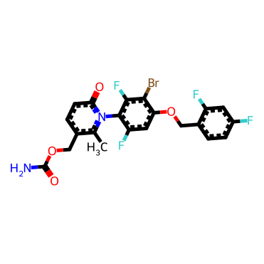 Cc1c(COC(N)=O)ccc(=O)n1-c1c(F)cc(OCc2ccc(F)cc2F)c(Br)c1F